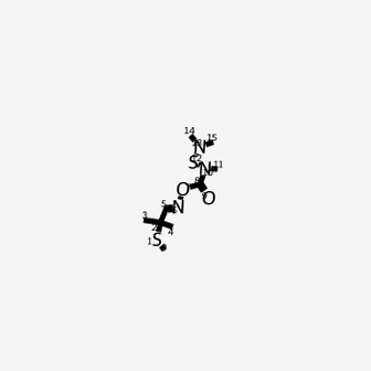 CSC(C)(C)C=NOC(=O)N(C)SN(C)C